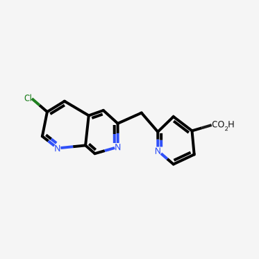 O=C(O)c1ccnc(Cc2cc3cc(Cl)cnc3cn2)c1